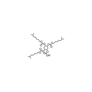 CC(C)CCCCCOC(=O)OC1CC(OC(=O)OCCCCCC(C)C)C(OC(=O)OCCCCCC(C)C)CC1OC(=O)O